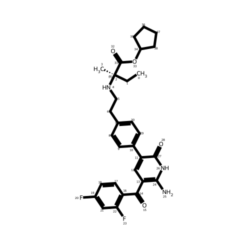 CC[C@@](C)(NCCc1ccc(-c2cc(C(=O)c3ccc(F)cc3F)c(N)[nH]c2=O)cc1)C(=O)OC1CCCC1